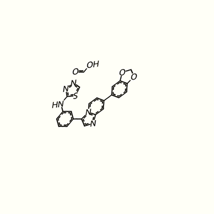 O=CO.c1cc(Nc2nncs2)cc(-c2cnc3cc(-c4ccc5c(c4)OCO5)ccn23)c1